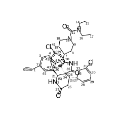 C#Cc1ccc(OC2CCN(C(=O)N(CC)CC)CC2)c([C@@H]2NC(=O)C[C@@H](C3C=CC=C(Cl)C3)[C@]23C(=O)Nc2cc(Cl)ccc23)c1